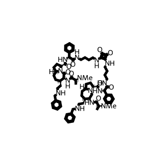 CN[C@@H](C)C(=O)N[C@@H]1C(=O)N2[C@@H](CC[C@@H]1CCNCc1ccccc1)CC[C@H]2C(=O)N[C@H](C(=O)NCCCCNc1c(NCCCCNC(=O)[C@@H](NC(=O)[C@@H]2CC[C@@H]3CC[C@H](CCNCc4ccccc4)[C@H](NC(=O)[C@H](C)NC)CN32)c2ccccc2)c(=O)c1=O)c1ccccc1